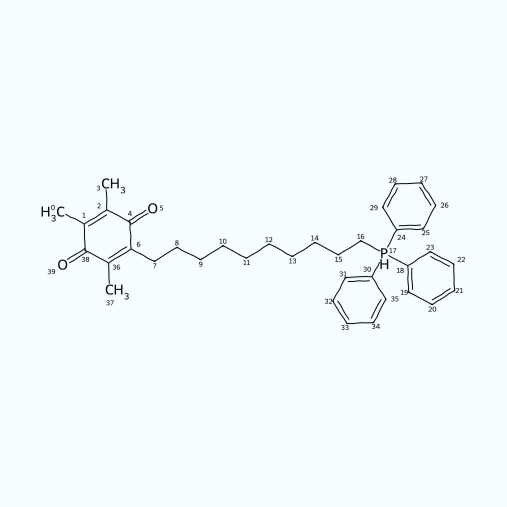 CC1=C(C)C(=O)C(CCCCCCCCCC[PH](c2ccccc2)(c2ccccc2)c2ccccc2)=C(C)C1=O